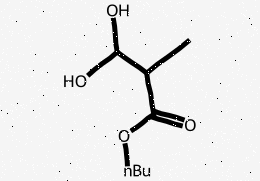 CCCCOC(=O)C(C)C(O)O